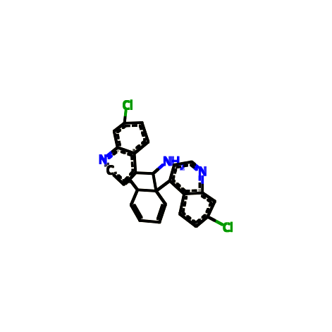 [CH2]C1C=CC=CC1(c1ccnc2cc(Cl)ccc12)C(N)c1ccnc2cc(Cl)ccc12